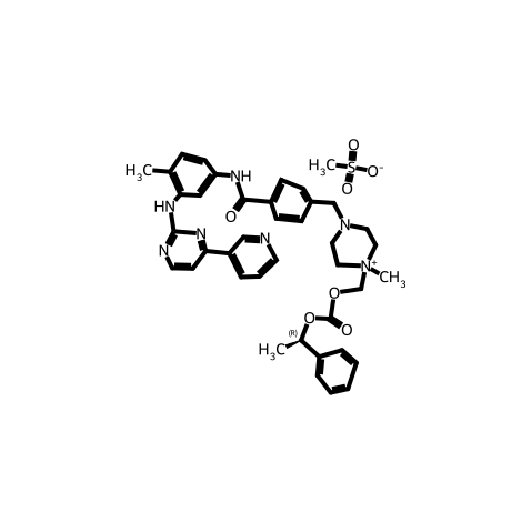 CS(=O)(=O)[O-].Cc1ccc(NC(=O)c2ccc(CN3CC[N+](C)(COC(=O)O[C@H](C)c4ccccc4)CC3)cc2)cc1Nc1nccc(-c2cccnc2)n1